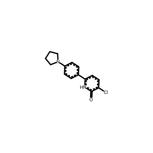 O=c1[nH]c(-c2ccc(N3CCCC3)cc2)ccc1Cl